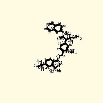 Cl.Cl.[2H]C([2H])([2H])c1ccc(C(=O)OCc2ccc(C(C(=O)Nc3ccc4cnccc4c3)C([2H])([2H])N)cc2)c(C([2H])([2H])[2H])c1